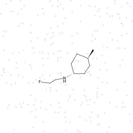 C[C@H]1CC[C@H](NCCF)CC1